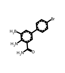 Bc1cc(-c2ccc(Br)cc2)cc(C(N)=O)c1N